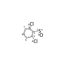 O=[S+]c1c(Cl)cccc1Cl